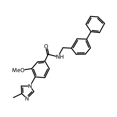 COc1cc(C(=O)NCc2cccc(-c3ccccc3)c2)ccc1-n1cnc(C)c1